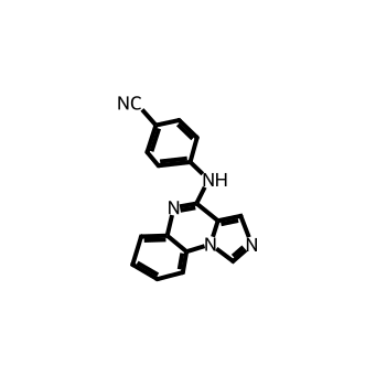 N#Cc1ccc(Nc2nc3ccccc3n3cncc23)cc1